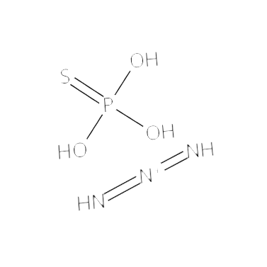 N=[N+]=N.OP(O)(O)=S